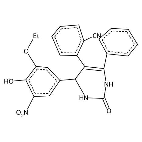 CCOc1cc(C2NC(=O)NC(c3ccccc3)=C2c2ccccc2C#N)cc([N+](=O)[O-])c1O